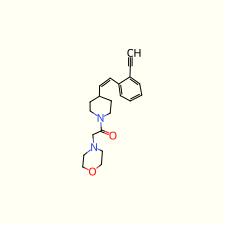 C#Cc1ccccc1/C=C\C1CCN(C(=O)CN2CCOCC2)CC1